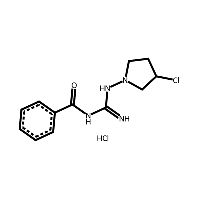 Cl.N=C(NC(=O)c1ccccc1)NN1CCC(Cl)C1